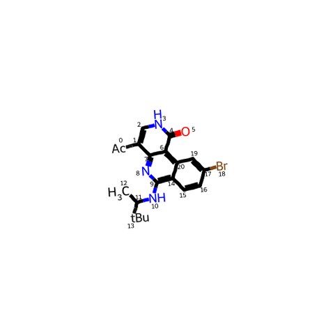 CC(=O)c1c[nH]c(=O)c2c1nc(NC(C)C(C)(C)C)c1ccc(Br)cc12